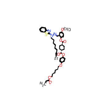 C=CC(=O)OCCCCCCOc1ccc(OC(=O)[C@H]2CC[C@H](C(=O)Oc3ccc(OC=O)cc3/C=N/N(CCCCCCC#CCC)c3nc4ccccc4s3)CC2)cc1